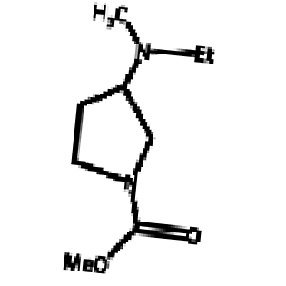 [CH2]CN(C)C1CCN(C(=O)OC)C1